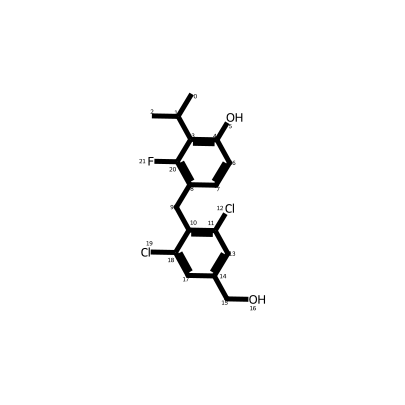 CC(C)c1c(O)ccc(Cc2c(Cl)cc(CO)cc2Cl)c1F